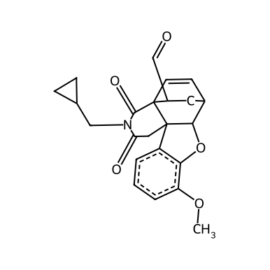 COc1cccc2c1OC1C3C=CC4(C(=O)N(CC5CC5)C(=O)CC214)C(C=O)C3